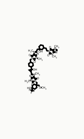 COCC1(Cn2c(=O)c3c(nc(C4CC4(O)C4CCC(Cn5c(=O)c6c(nc(CC7(O)CCCC(CCn8c(=O)c9c(ncn9C)n(C)c8=O)C7)n6C)n(C)c5=O)CC4)n3C)n(C)c2=O)CCC(O)(C(F)(F)F)CC1